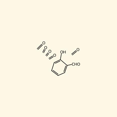 C=O.C=O.C=O.C=O.C=O.O=Cc1ccccc1O